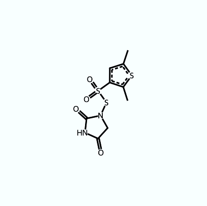 Cc1cc(S(=O)(=O)SN2CC(=O)NC2=O)c(C)s1